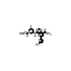 CC(=O)c1ccc(-c2cc(C(N)=O)c3ncnc(N[C@H]4C[C@H](F)CN(C(=O)OC(C)(C)C)C4)c3n2)s1